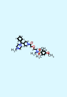 COc1cc(C)c(S(=O)(=O)N(C)CCOCC(=O)N2CCC(C(c3ccccc3)N3CCN(C)CC3)CC2)c(C)c1